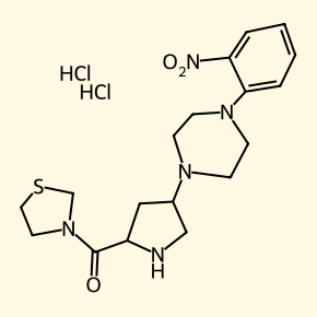 Cl.Cl.O=C(C1CC(N2CCN(c3ccccc3[N+](=O)[O-])CC2)CN1)N1CCSC1